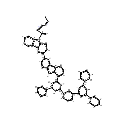 C=C(/C=C\C=C/C)n1c2ccccc2c2cc(-c3ccc4oc5c(-c6nc(-c7ccccc7)nc(-c7cccc(-c8cc(-c9ccccc9)cc(-c9ccccc9)c8)c7)n6)cccc5c4c3)ccc21